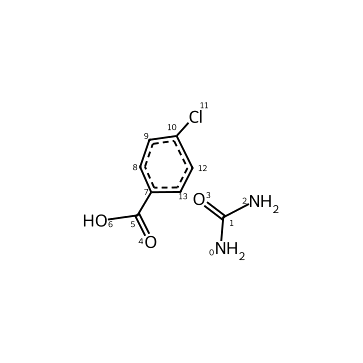 NC(N)=O.O=C(O)c1ccc(Cl)cc1